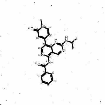 CC(C)Nc1ncc2c(NC(=O)c3ccccc3)ncc(-c3ccn(C)c(=O)c3)c2n1